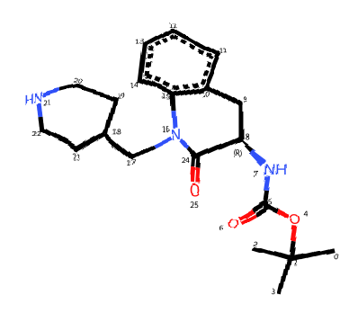 CC(C)(C)OC(=O)N[C@@H]1Cc2ccccc2N(CC2CCNCC2)C1=O